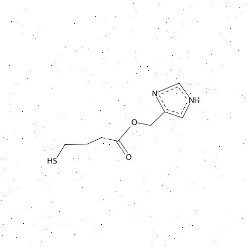 O=C(CCCS)OCc1c[nH]cn1